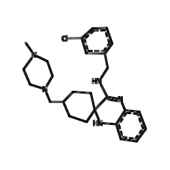 CN1CCN(CC2CCC3(CC2)Nc2ccccc2N=C3NCc2cccc(Cl)c2)CC1